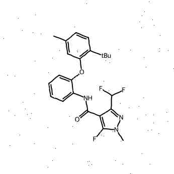 Cc1ccc(C(C)(C)C)c(Oc2ccccc2NC(=O)c2c(C(F)F)nn(C)c2F)c1